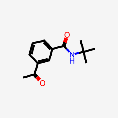 CC(=O)c1cccc(C(=O)NC(C)(C)C)c1